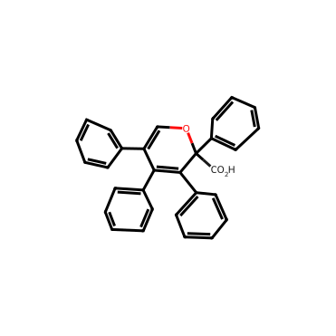 O=C(O)C1(c2ccccc2)OC=C(c2ccccc2)C(c2ccccc2)=C1c1ccccc1